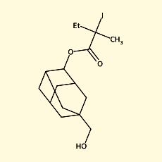 CCC(C)(I)C(=O)OC1C2CC3CC1CC(CO)(C3)C2